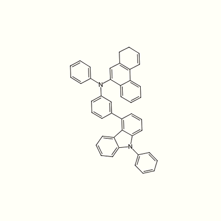 C1=Cc2c(cc(N(c3ccccc3)c3cccc(-c4cccc5c4c4ccccc4n5-c4ccccc4)c3)c3ccccc23)CC1